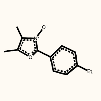 CCc1ccc(-c2oc(C)c(C)[n+]2[O-])cc1